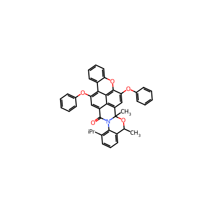 CC(C)c1cccc2c1N1C(=O)c3cc(Oc4ccccc4)c4c5c(c(Oc6ccccc6)cc(c35)C1(C)OC2C)Oc1ccccc1-4